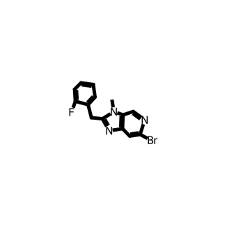 Cn1c(Cc2ccccc2F)nc2cc(Br)ncc21